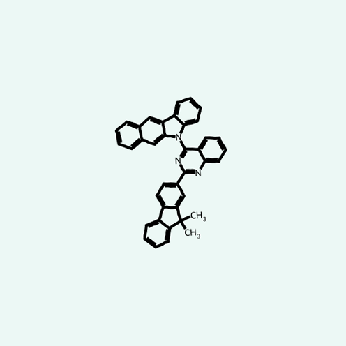 CC1(C)c2ccccc2-c2ccc(-c3nc(-n4c5ccccc5c5cc6ccccc6cc54)c4ccccc4n3)cc21